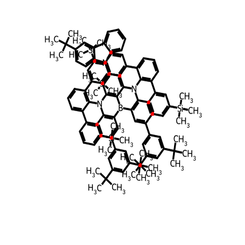 CC(C)(C)c1cc(-c2ccc3c(c2)B2c4cc(-c5cc(C(C)(C)C)cc(C(C)(C)C)c5)ccc4N(c4c(-c5cccc([Si](C)(C)C)c5)cccc4-c4cccc([Si](C)(C)C)c4)c4cc(-n5c6ccccc6c6cc(C(C)(C)C)ccc65)cc(c42)N3c2c(-c3cccc([Si](C)(C)C)c3)cccc2-c2cccc([Si](C)(C)C)c2)cc(C(C)(C)C)c1